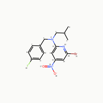 CC(C)CN(Cc1ccc(F)cc1)c1cc([N+](=O)[O-])cc(Br)n1